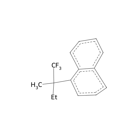 CCC(C)(c1cccc2ccccc12)C(F)(F)F